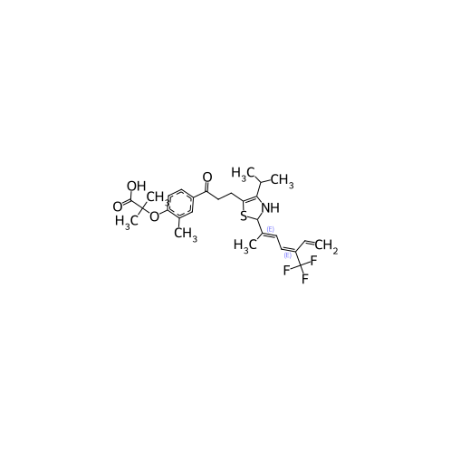 C=C/C(=C\C=C(/C)C1NC(C(C)C)=C(CCC(=O)c2ccc(OC(C)(C)C(=O)O)c(C)c2)S1)C(F)(F)F